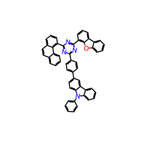 c1ccc(-n2c3ccccc3c3cc(-c4ccc(-c5nc(-c6cccc7c6oc6ccccc67)nc(-c6cccc7ccc8ccccc8c67)n5)cc4)ccc32)cc1